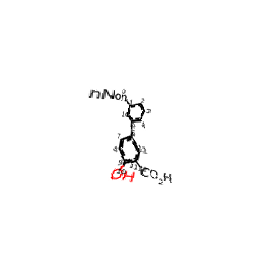 CCCCCCCCCc1cccc(-c2ccc(O)c(C(=O)O)c2)c1